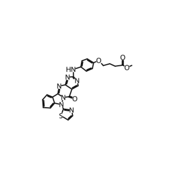 COC(=O)CCCOc1ccc(Nc2ncc3c(=O)n4c(nc3n2)c2ccccc2n4-c2nccs2)cc1